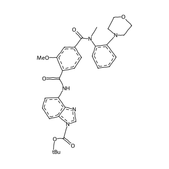 COc1cc(C(=O)N(C)c2ccccc2N2CCOCC2)ccc1C(=O)Nc1cccc2c1ncn2C(=O)OC(C)(C)C